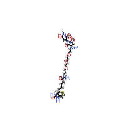 CN1C(=O)CC(N2C(=O)CC(NCCCOCCOCCOCCCNC(=O)CCCC[C@@H]3SC[C@@H]4NC(=O)N[C@@H]43)C2=O)C1=O